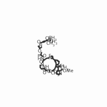 CCn1c(-c2cccnc2[C@H](C)OC)c2c3cc(ccc31)-c1csc(n1)C[C@H](NC(=O)[C@H](F)COC1CN(C(=O)C#CC(C)(C)N(C)C)C1)C(=O)N1CCC[C@@](O)(N1)C(=O)OCC(C)(C)C2